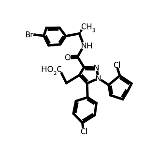 C[C@@H](NC(=O)c1nn(-c2ccccc2Cl)c(-c2ccc(Cl)cc2)c1CC(=O)O)c1ccc(Br)cc1